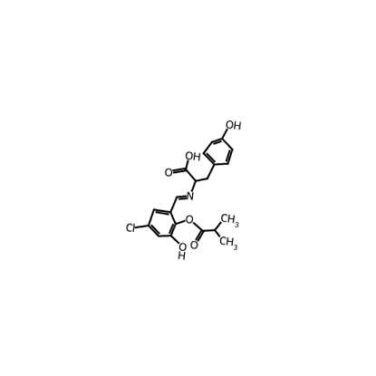 CC(C)C(=O)Oc1c(O)cc(Cl)cc1C=NC(Cc1ccc(O)cc1)C(=O)O